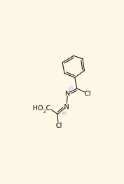 O=C(O)/C(Cl)=N\N=C(/Cl)c1ccccc1